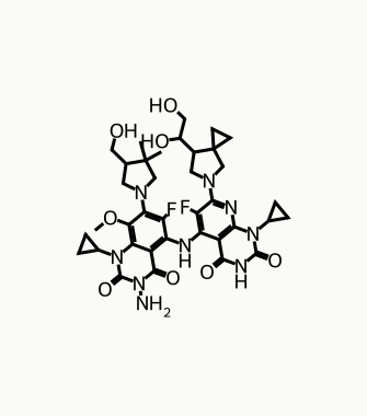 COc1c(N2CC(CO)C(C)(C)C2)c(F)c(Nc2c(F)c(N3CC(C(O)CO)C4(CC4)C3)nc3c2c(=O)[nH]c(=O)n3C2CC2)c2c(=O)n(N)c(=O)n(C3CC3)c12